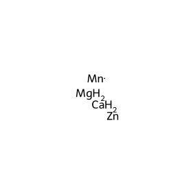 [CaH2].[MgH2].[Mn].[Zn]